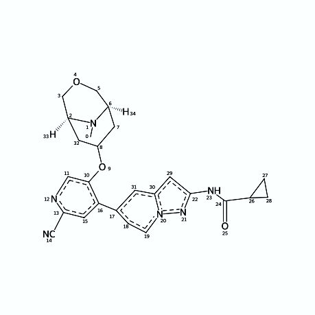 CN1[C@@H]2COC[C@H]1CC(Oc1cnc(C#N)cc1-c1ccn3nc(NC(=O)C4CC4)cc3c1)C2